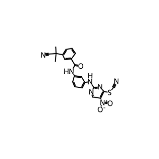 CC(C)(C#N)c1cccc(C(=O)Nc2cccc(Nc3ncc([N+](=O)[O-])c(SC#N)n3)c2)c1